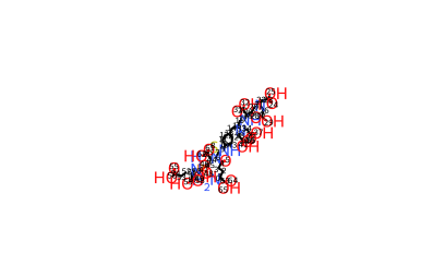 N[C@@H](CCC(=O)N(C(=S)Nc1ccc(CC(CNC(CCN(CC(=O)O)CC(=O)O)C(=O)O)N(CC(=O)O)CC(=O)O)cc1)[C@@H](COP(=O)(O)N[C@@H](CCC(=O)O)C(=O)O)C(=O)O)C(=O)O